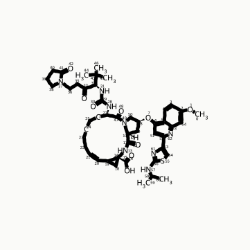 COc1ccc2c(O[C@@H]3C[C@H]4C(=O)N[C@]5(C(=O)O)CC5/C=C\CCCCC[C@H](NC(=O)N[C@H](C(=O)CCN5CCCC5=O)C(C)(C)C)C(=O)N4C3)cc(-c3csc(NC(C)C)n3)nc2c1